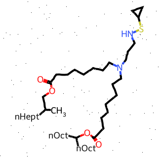 CCCCCCCCC(CCCCCCCC)OC(=O)CCCCCCCN(CCCCCCCC(=O)OCC(C)CCCCCCC)CCCNSC1CC1